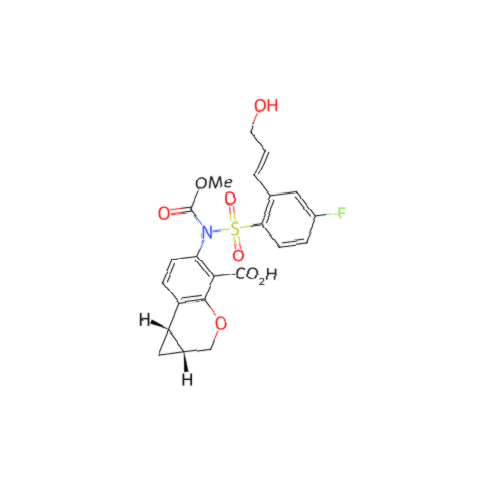 COC(=O)N(c1ccc2c(c1C(=O)O)OC[C@@H]1C[C@H]21)S(=O)(=O)c1ccc(F)cc1C=CCO